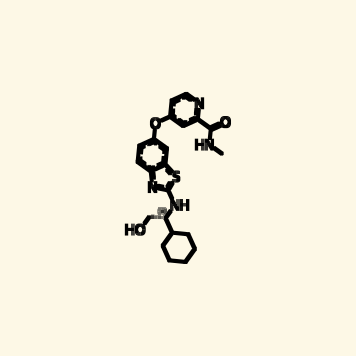 CNC(=O)c1cc(Oc2ccc3nc(N[C@@H](CO)C4CCCCC4)sc3c2)ccn1